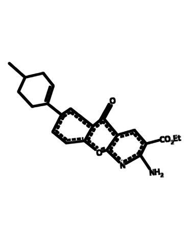 CCOC(=O)c1cc2c(=O)c3cc(C4=CCC(C)CC4)ccc3oc2nc1N